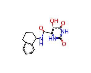 O=C(NC1CCCc2ccccc21)c1[nH]c(=O)[nH]c(=O)c1O